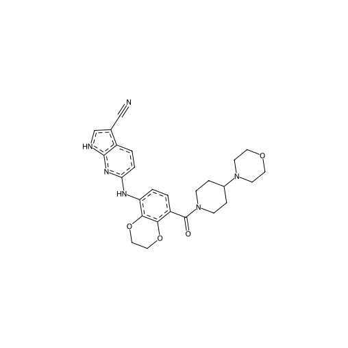 N#Cc1c[nH]c2nc(Nc3ccc(C(=O)N4CCC(N5CCOCC5)CC4)c4c3OCCO4)ccc12